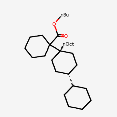 CCCCCCCC[C@]1(C2(C(=O)OCCCC)CCCCC2)CC[C@@H](C2CCCCC2)CC1